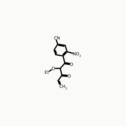 C=CC(=O)C(OCC)C(=O)c1ccc(C#N)cc1[N+](=O)[O-]